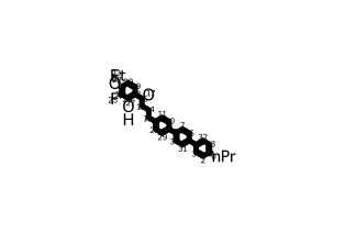 CCCc1ccc(-c2ccc(-c3ccc(CCCC(=O)c4ccc(OCC)c(F)c4O)cc3)cc2)cc1